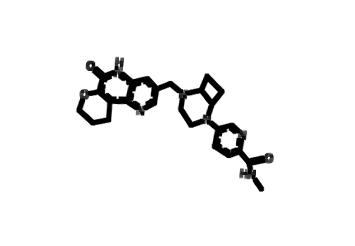 CNC(=O)c1ccc(N2CCN(Cc3cnc4c5c(c(=O)[nH]c4c3)OCCC5)C3CCC32)cn1